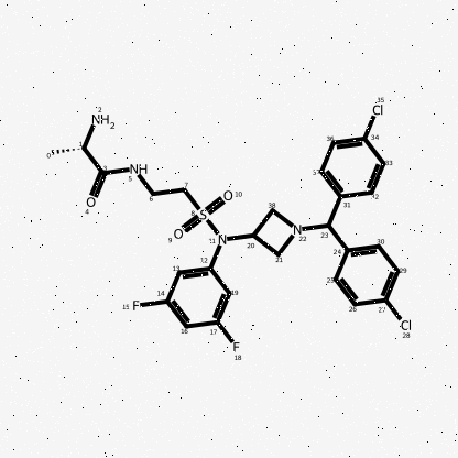 C[C@H](N)C(=O)NCCS(=O)(=O)N(c1cc(F)cc(F)c1)C1CN(C(c2ccc(Cl)cc2)c2ccc(Cl)cc2)C1